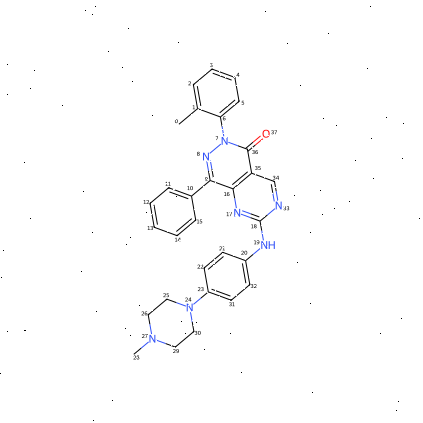 Cc1ccccc1-n1nc(-c2ccccc2)c2nc(Nc3ccc(N4CCN(C)CC4)cc3)ncc2c1=O